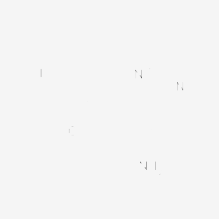 Nc1cnn2ccc(I)c(Cl)c12